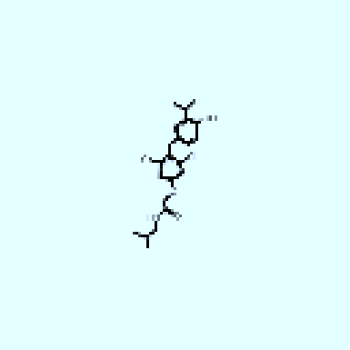 CC(C)CNC(=O)COc1cc(Cl)c(Cc2ccc(O)c(C(C)C)c2)c(Cl)c1